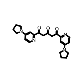 O=C(CC(=O)c1cc(N2CCCC2)ccn1)CC(=O)c1cc(N2CCCC2)ccn1